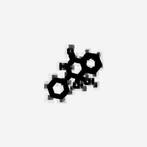 CC1(C)c2ccccc2C(=O)NC1N1CCCCC1